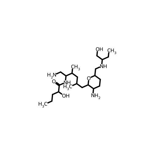 CCCC(O)C(=O)NC(CN)C(C)CC(C)CC1OC(CNC(CC)CO)CCC1N